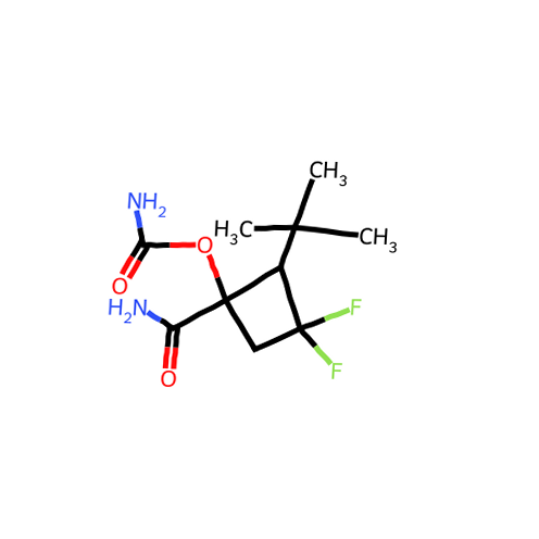 CC(C)(C)C1C(F)(F)CC1(OC(N)=O)C(N)=O